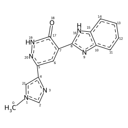 Cn1cnc(-c2cc(-c3nc4ccccc4[nH]3)c(=O)[nH]n2)c1